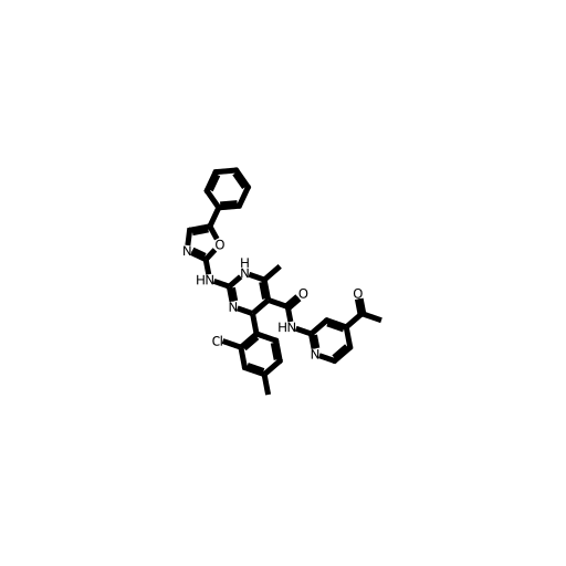 CC(=O)c1ccnc(NC(=O)C2=C(C)NC(Nc3ncc(-c4ccccc4)o3)=NC2c2ccc(C)cc2Cl)c1